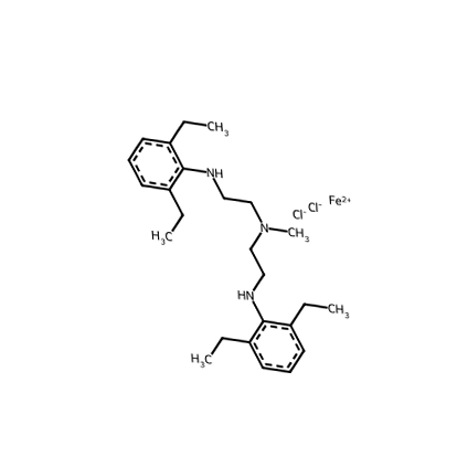 CCc1cccc(CC)c1NCCN(C)CCNc1c(CC)cccc1CC.[Cl-].[Cl-].[Fe+2]